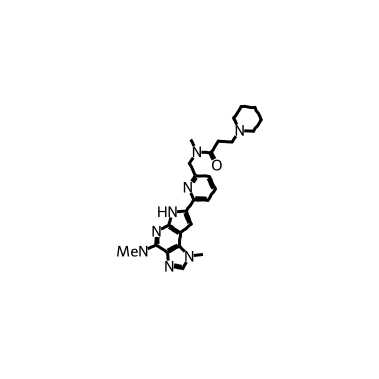 CNc1nc2[nH]c(-c3cccc(CN(C)C(=O)CCN4CCCCC4)n3)cc2c2c1ncn2C